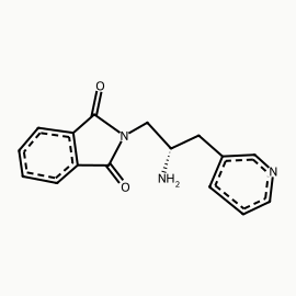 N[C@@H](Cc1cccnc1)CN1C(=O)c2ccccc2C1=O